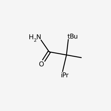 CC(C)C(C)(C(N)=O)C(C)(C)C